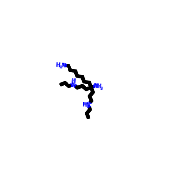 CCCNCCCC(N)(CCCCCCCN)CCCNCCC